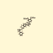 COc1ccc(S(=O)(=O)N(C)c2ccc3c(c2)OC(CN[C@H](C)c2ccccc2)CC3)cc1OC